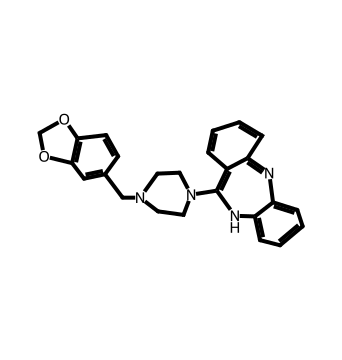 c1ccc2c(c1)N=c1ccccc1=C(N1CCN(Cc3ccc4c(c3)OCO4)CC1)N2